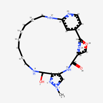 Cn1cc2c(n1)C(O)NCCCCCCCCNc1cc(ccn1)-c1nc(co1)C(=O)N2